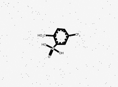 O=C(O)c1ccc(C(F)(F)F)cc1P(=O)(O)O